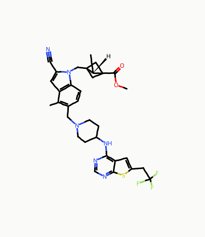 COC(=O)C12CC(Cn3c(C#N)cc4c(C)c(CN5CCC(Nc6ncnc7sc(CC(F)(F)F)cc67)CC5)ccc43)(C1)[C@@H]2C